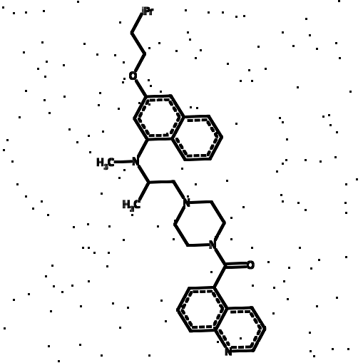 CC(C)CCOc1cc(N(C)C(C)CN2CCN(C(=O)c3cccc4ncccc34)CC2)c2ccccc2c1